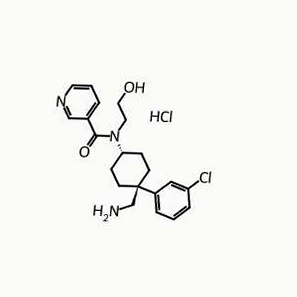 Cl.NC[C@]1(c2cccc(Cl)c2)CC[C@@H](N(CCO)C(=O)c2cccnc2)CC1